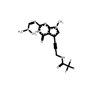 CN(C)/C=N\c1nc2c(c(C#CCNC(=O)C(F)(F)F)cn2C)c(=O)[nH]1